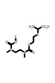 CN(CCN(C)C(=O)OCCSC(N)C(=O)O)C(=O)OF